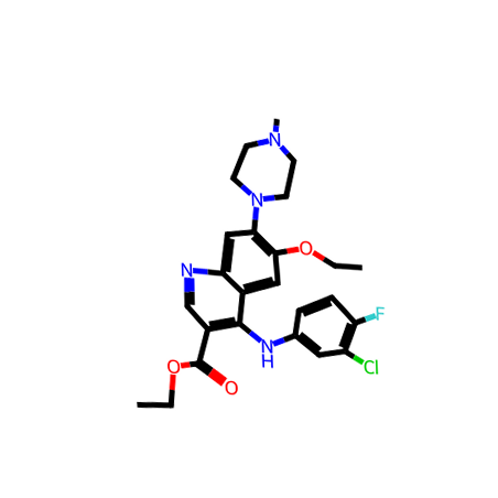 CCOC(=O)c1cnc2cc(N3CCN(C)CC3)c(OCC)cc2c1Nc1ccc(F)c(Cl)c1